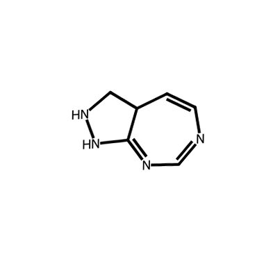 C1=CC2CNNC2=NC=N1